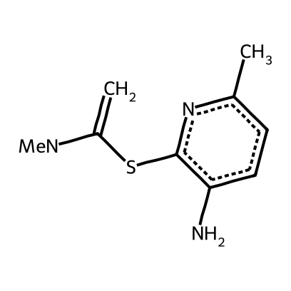 C=C(NC)Sc1nc(C)ccc1N